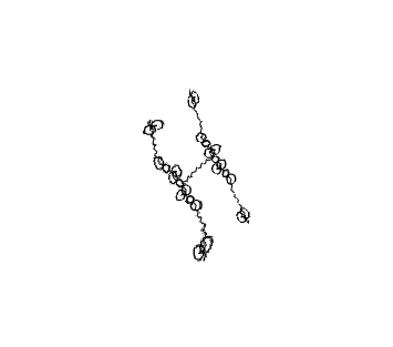 C=CC(=O)OCCCCCCCCCOc1ccc(C(=O)Oc2ccc(OC(=O)c3ccc(OCCCCCCCCCOC(=O)C=C)cc3)c(CCCCCCCCCCc3cc(OC(=O)c4ccc(OCCCCCCCCCOC(=O)C=C)cc4)ccc3OC(=O)c3ccc(OCCCCCCCCCOC(=O)C=C)cc3)c2)cc1